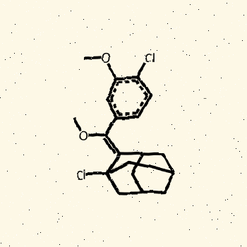 COC(=C1C2CC3CC(C2)CC1(Cl)C3)c1ccc(Cl)c(OC)c1